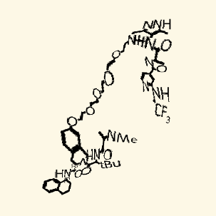 CNC(C)C(=O)NC(C(=O)N1Cc2cc(OCCOCCOCCOCCOCCNCc3n[nH]c(C)c3NC(=O)c3coc(-c4ccnc(NCC(F)(F)F)c4)n3)ccc2C[C@H]1C(=O)N[C@@H]1CCCc2ccccc21)C(C)(C)C